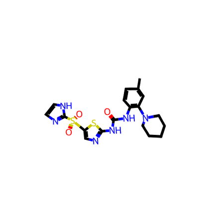 Cc1ccc(NC(=O)Nc2ncc(S(=O)(=O)c3ncc[nH]3)s2)c(N2CCCCC2)c1